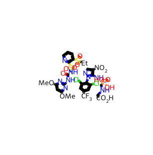 CCS(=O)(=O)c1cccnc1S(=O)(=O)NC(=O)Nc1nc(OC)cc(OC)n1.Nc1c([N+](=O)[O-])cnn1-c1c(Cl)cc(C(F)(F)F)cc1Cl.O=C(O)CNCP(=O)(O)O